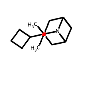 CC(C)N1C2CC1CN(C1CCC1)C2